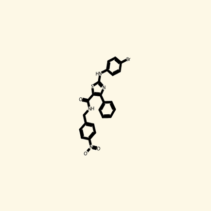 O=C(NCc1ccc([N+](=O)[O-])cc1)c1sc(Nc2ccc(Br)cc2)nc1-c1ccccc1